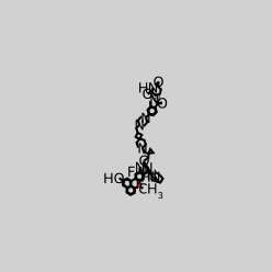 CCc1cccc2cc(O)cc(-c3c(F)cc4c(N5CC6CCC(C5)N6)nc(OCC5(CN6CCC7(CC6)CC(CN6CCN(c8ccc9c(c8)CN([C@H]8CCC(=O)NC8=O)C9=O)CC6)C7)CC5)nc4c3F)c12